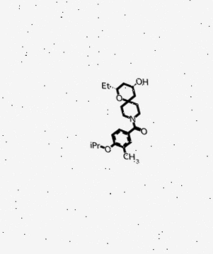 CC[C@@H]1C[C@H](O)CC2(CCN(C(=O)c3ccc(OC(C)C)c(C)c3)CC2)O1